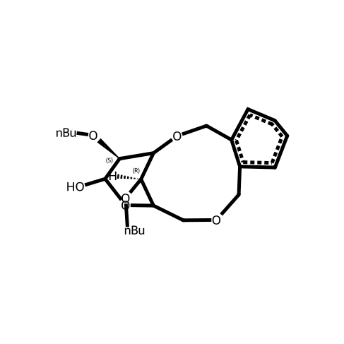 CCCCO[C@@H]1C(O)OC2COCc3ccccc3COC1[C@@H]2OCCCC